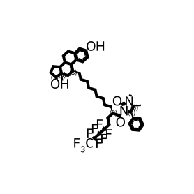 C[C@H]1[C@@H](c2ccccc2)N(C(=O)[C@H](CCCCCCCCC[C@H]2C[C@@]3(C)C(CC[C@@H]3O)C3CCc4cc(O)ccc4C32)CCC(F)(F)C(F)(F)C(F)(F)C(F)(F)F)C(=O)N1C